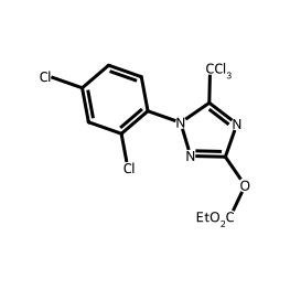 CCOC(=O)Oc1nc(C(Cl)(Cl)Cl)n(-c2ccc(Cl)cc2Cl)n1